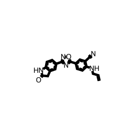 C=CCNc1ccc(-c2nc(-c3ccc4c(c3)CC(=O)N4)no2)cc1C#N